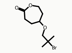 CC(C)(Br)COC1CCOC(=O)CC1